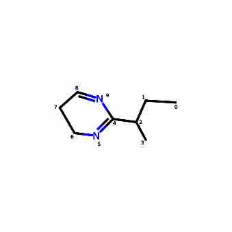 CCC(C)C1=NCCC=N1